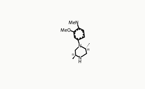 CNc1ccc(N2C[C@H](C)NC[C@H]2C)cc1OC